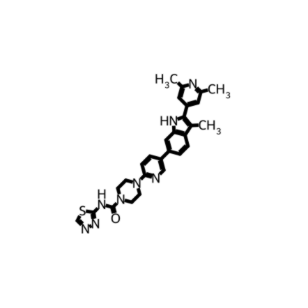 Cc1cc(-c2[nH]c3cc(-c4ccc(N5CCN(C(=O)Nc6nncs6)CC5)nc4)ccc3c2C)cc(C)n1